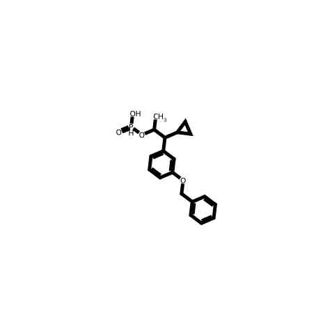 CC(O[PH](=O)O)C(c1cccc(OCc2ccccc2)c1)C1CC1